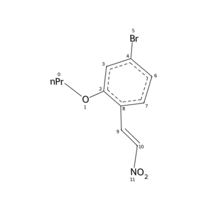 CCCOc1cc(Br)ccc1C=C[N+](=O)[O-]